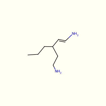 CCCC(/C=C/N)CCN